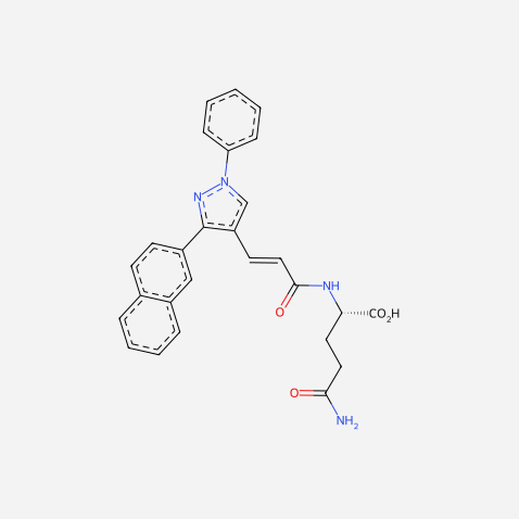 NC(=O)CC[C@H](NC(=O)C=Cc1cn(-c2ccccc2)nc1-c1ccc2ccccc2c1)C(=O)O